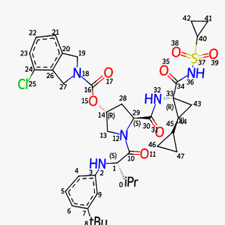 CC(C)[C@H](Nc1cccc(C(C)(C)C)c1)C(=O)N1C[C@H](OC(=O)N2Cc3cccc(Cl)c3C2)C[C@H]1C(=O)N[C@]1(C(=O)NS(=O)(=O)C2CC2)C[C@H]1C1CC1